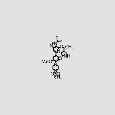 COc1cc(-c2cc3ncn(C(F)F)c3c(O[C@H](C)[C@H]3CNC(=O)C3)n2)ccc1N1CCN(S(C)(=O)=O)CC1